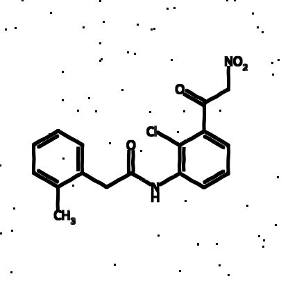 Cc1ccccc1CC(=O)Nc1cccc(C(=O)C[N+](=O)[O-])c1Cl